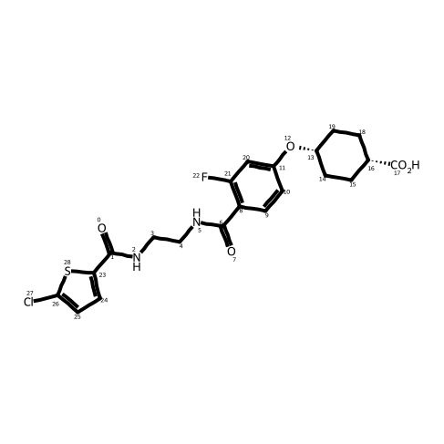 O=C(NCCNC(=O)c1ccc(O[C@H]2CC[C@@H](C(=O)O)CC2)cc1F)c1ccc(Cl)s1